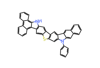 c1ccc(-n2c3cc4ccccc4cc3c3cc4c(cc32)sc2cc3c(cc24)[nH]c2c4ccccc4c4ccccc4c32)cc1